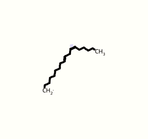 [CH2]CCCCCCCC=CC/C=C\CCCCC